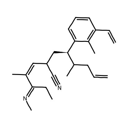 C=CCC(C)[C@@H](CC(C#N)C=C(C)/C(CC)=N/C)c1cccc(C=C)c1C